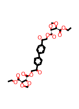 CCOC(=O)[C@@H]1OCO[C@H]1C(=O)OCC(=O)c1ccc(-c2ccc(C(=O)COC(=O)[C@@H]3OCO[C@H]3C(=O)OCC)cc2)cc1